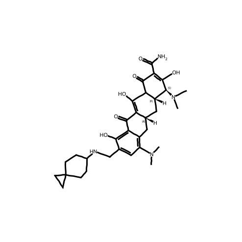 CN(C)c1cc(CNC2CCC3(CC2)CC3)c(O)c2c1C[C@H]1C[C@@H]3C(C(=O)C(C(N)=O)=C(O)[C@H]3N(C)C)C(O)=C1C2=O